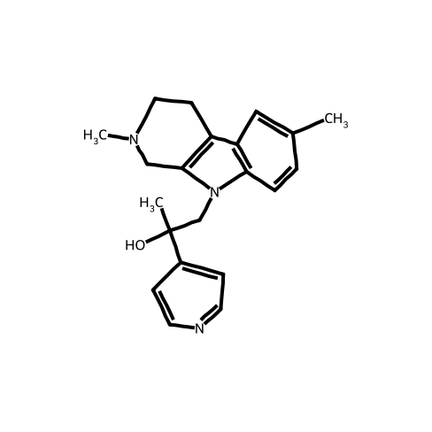 Cc1ccc2c(c1)c1c(n2CC(C)(O)c2ccncc2)CN(C)CC1